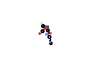 O=C(N[C@H]1CC[C@H](CCN2CCCC2)CC1)c1ccc(S(=O)(=O)Nc2cc(F)ccc2Oc2ccc(Br)cc2)cc1